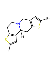 CCc1cc2c(s1)C[C@H]1c3cc(C)sc3CCN1C2